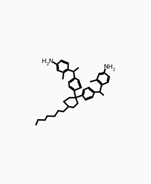 CCCCCCCC1CCC(c2ccc(C(C)c3ccc(N)cc3C)cc2)(c2ccc(C(C)c3ccc(N)cc3C)cc2)CC1